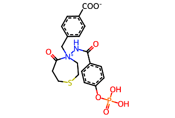 O=C([O-])c1ccc(C[N+]2(NC(=O)c3ccc(OP(=O)(O)O)cc3)CCSCCC2=O)cc1